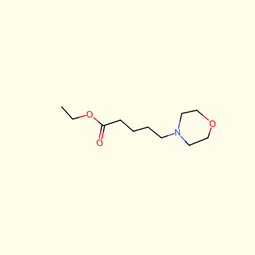 CCOC(=O)CCCCN1CCOCC1